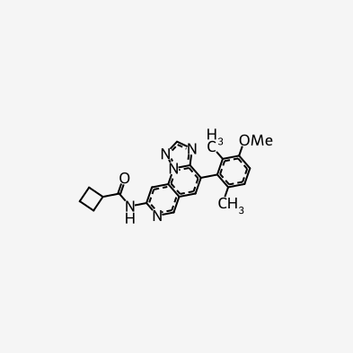 COc1ccc(C)c(-c2cc3cnc(NC(=O)C4CCC4)cc3n3ncnc23)c1C